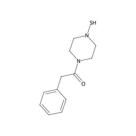 O=C(Cc1ccccc1)N1CCN(S)CC1